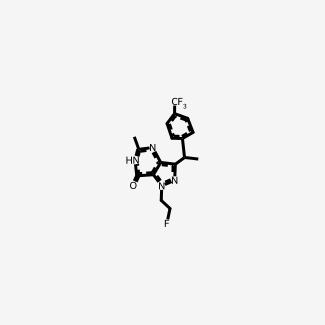 Cc1nc2c(C(C)c3ccc(C(F)(F)F)cc3)nn(CCF)c2c(=O)[nH]1